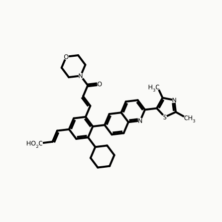 Cc1nc(C)c(-c2ccc3cc(-c4c(/C=C/C(=O)N5CCOCC5)cc(/C=C/C(=O)O)cc4C4CCCCC4)ccc3n2)s1